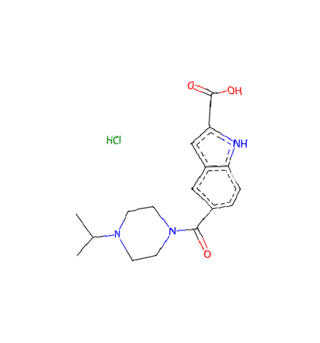 CC(C)N1CCN(C(=O)c2ccc3[nH]c(C(=O)O)cc3c2)CC1.Cl